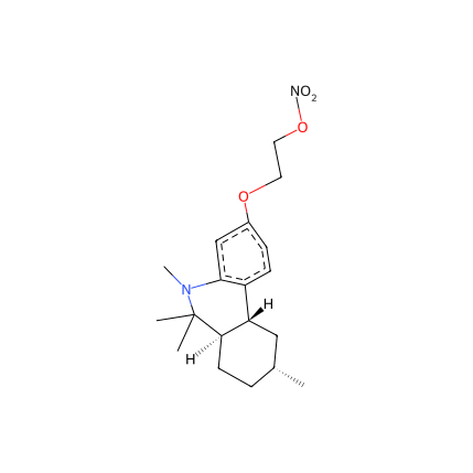 C[C@@H]1CC[C@@H]2[C@@H](C1)c1ccc(OCCO[N+](=O)[O-])cc1N(C)C2(C)C